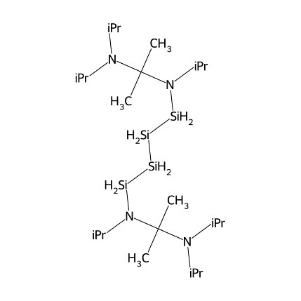 CC(C)N([SiH2][SiH2][SiH2][SiH2]N(C(C)C)C(C)(C)N(C(C)C)C(C)C)C(C)(C)N(C(C)C)C(C)C